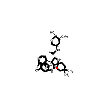 CO[C@@H]1C[C@@H](NC(=O)[C@@H]2NC3(CCC(C)(C)CC3)[C@@]3(C(=O)Nc4cc(Cl)ccc43)[C@H]2c2ccnc(Cl)c2F)CO[C@@H]1O